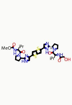 COC(=O)N[C@H](C(=O)N1CCCC1c1nc(-c2cc3sc(-c4cnc([C@@H]5CCCN5C(=O)[C@@H](NC(=O)CO)C(C)C)[nH]4)cc3s2)c[nH]1)C(C)C